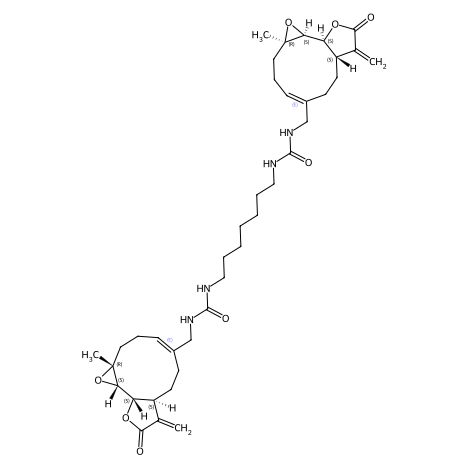 C=C1C(=O)O[C@H]2[C@H]1CC/C(CNC(=O)NCCCCCCCNC(=O)NC/C1=C/CC[C@@]3(C)O[C@H]3[C@H]3OC(=O)C(=C)[C@@H]3CC1)=C\CC[C@@]1(C)O[C@@H]21